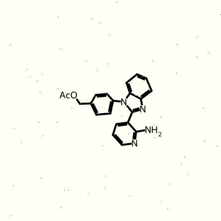 CC(=O)OCc1ccc(-n2c(-c3cccnc3N)nc3ccccc32)cc1